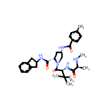 CN[C@@H](C)C(=O)N[C@H](C(=O)N1C[C@@H](NC(=O)c2ccc(C)cc2)C[C@H]1C(=O)NC1Cc2ccccc2C1)C(C)(C)C